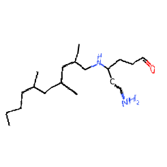 CCCCC(C)CC(C)CC(C)CNC(CCN)CCC=O